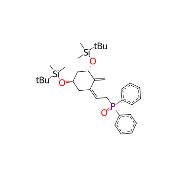 C=C1/C(=C\CP(=O)(c2ccccc2)c2ccccc2)C[C@@H](O[Si](C)(C)C(C)(C)C)C[C@@H]1O[Si](C)(C)C(C)(C)C